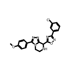 COc1ccc(-c2nnc3n2CCNC3c2nc(-c3cccc(Cl)c3)no2)cc1